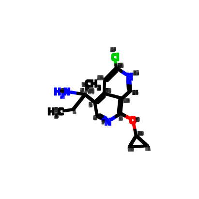 CC[C@@](C)(N)c1cnc(OC2CC2)c2cnc(Cl)cc12